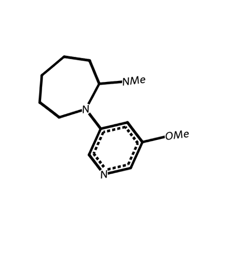 CNC1CCCCCN1c1cncc(OC)c1